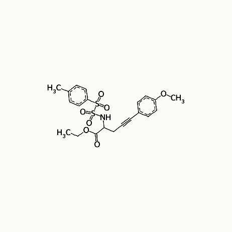 CCOC(=O)C(CC#Cc1ccc(OC)cc1)NS(=O)(=O)S(=O)(=O)c1ccc(C)cc1